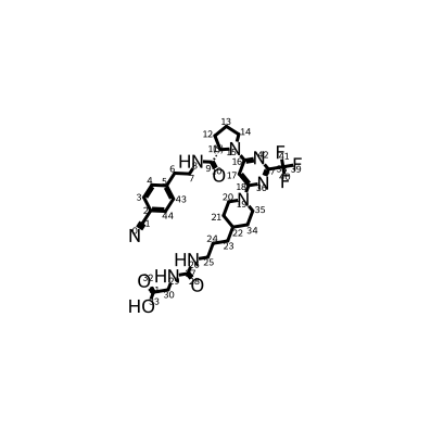 N#Cc1ccc(CCNC(=O)[C@@H]2CCCN2c2cc(N3CCC(CCCNC(=O)NCC(=O)O)CC3)nc(C(F)(F)F)n2)cc1